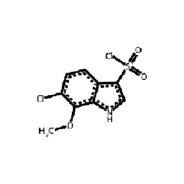 COc1c(Cl)ccc2c(S(=O)(=O)Cl)c[nH]c12